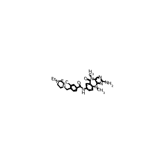 CCN1CCN(Cc2ccc(C(=O)Nc3ccc4c(c3)C(=O)N(C)c3cnc(N)nc3N4C)cc2C(F)(F)F)CC1